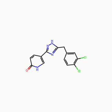 O=c1ccc(-c2n[nH]c(Cc3ccc(Cl)c(Cl)c3)n2)c[nH]1